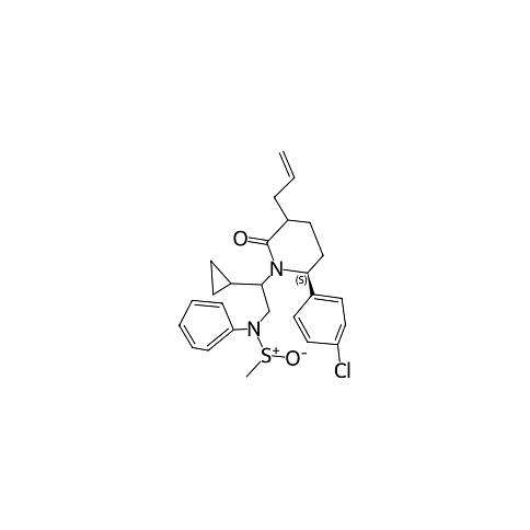 C=CCC1CC[C@@H](c2ccc(Cl)cc2)N(C(CN(c2ccccc2)[S+](C)[O-])C2CC2)C1=O